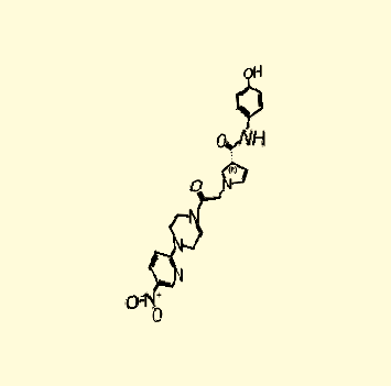 O=C(Nc1ccc(O)cc1)[C@@H]1CCN(CC(=O)N2CCN(c3ccc([N+](=O)[O-])cn3)CC2)C1